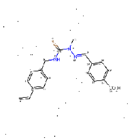 C=Cc1ccc(CNC(=S)N(C)N=Cc2ccc(C(=O)O)cc2)cc1